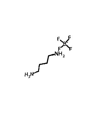 F[B-](F)(F)F.NCCCCN